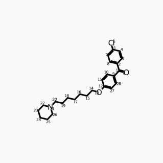 O=C(c1ccc(Cl)cc1)c1ccc(OCCCCCCCN2CCCCC2)cc1